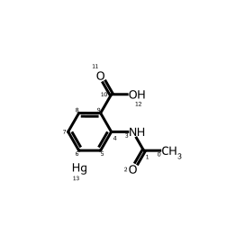 CC(=O)Nc1ccccc1C(=O)O.[Hg]